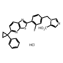 Cl.O=C(O)c1cncn1Cc1ccc(-c2nc3ccc(C4(c5ccccc5)CC4)nc3s2)c(F)c1